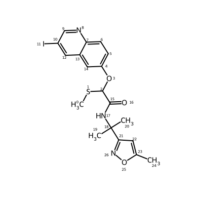 CSC(Oc1ccc2ncc(I)cc2c1)C(=O)NC(C)(C)c1cc(C)on1